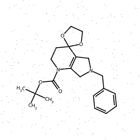 CC(C)(C)OC(=O)N1CCC2(OCCO2)C2=C1CN(Cc1ccccc1)C2